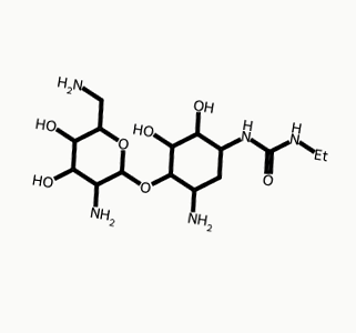 CCNC(=O)NC1CC(N)C(OC2OC(CN)C(O)C(O)C2N)C(O)C1O